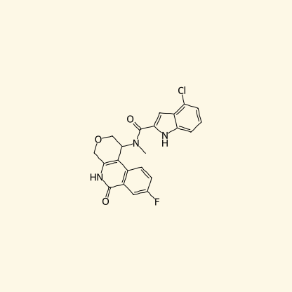 CN(C(=O)c1cc2c(Cl)cccc2[nH]1)C1COCc2[nH]c(=O)c3cc(F)ccc3c21